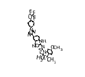 COc1ccc(C(C)C)c(N2C(=O)CS/C2=N\C(=O)Nc2ccc(-c3ncn(-c4ccc(OC(F)(F)F)cc4)n3)cc2C#N)c1